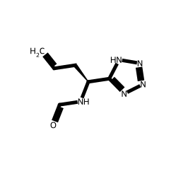 C=CC[C@H](NC=O)c1nnn[nH]1